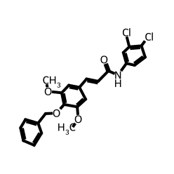 COc1cc(/C=C/C(=O)Nc2ccc(Cl)c(Cl)c2)cc(OC)c1OCc1ccccc1